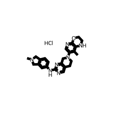 Cc1c(N2CCc3cnc(Nc4ccc5c(c4)CN(C)C5)nc3C2)cnc2c1NCCO2.Cl